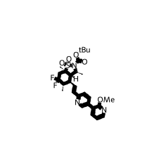 COc1ncccc1-c1ccc(/C=C/[C@@H]2[C@@H]3[C@@H](C)N(C(=O)OC(C)(C)C)S(=O)(=O)[C@]3(C)CC(F)(F)[C@H]2C)nc1